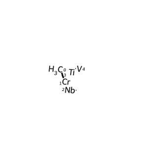 [CH3][Cr].[Nb].[Ti].[V]